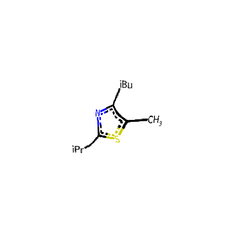 CCC(C)c1nc(C(C)C)sc1C